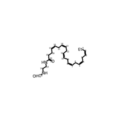 CC/C=C\C/C=C\C/C=C\C/C=C\C/C=C\C/C=C\CCC(=O)NCCNC=O